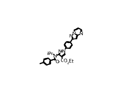 CCOC(=O)c1cn(-c2ccc(-c3cc4ncccn4n3)cc2)nc1N(C(=O)c1ccc(C)cc1)C(C)C